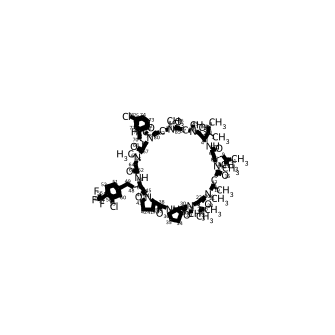 CC[C@H](C)[C@@H]1NC(=O)[C@H](CC(C)C)N(C)C(=O)C[C@@H](C)N(C)C(=O)[C@H](C(C)C)N(C)C(=O)C2(CCCC2)NC(=O)[C@@H]2CCCN2C(=O)[C@H](CCc2ccc(C(F)(F)F)c(Cl)c2)NC(=O)CN(C)C(=O)[C@H](Cc2cccc(Cl)c2)N(C)C(=O)CN(C)C(=O)CN(C)C1=O